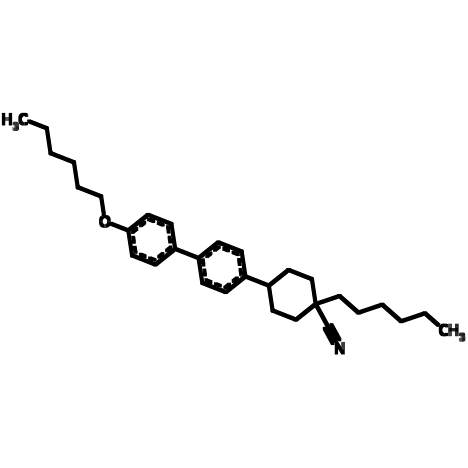 CCCCCCOc1ccc(-c2ccc(C3CCC(C#N)(CCCCCC)CC3)cc2)cc1